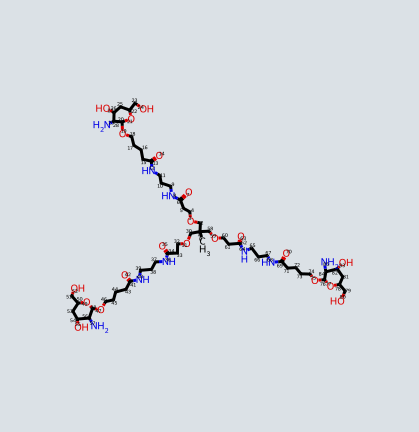 CC(COCCC(=O)NCCCNC(=O)CCCCOC1OC(CO)CC(O)C1N)(COCCC(=O)NCCCNC(=O)CCCCOC1OC(CO)CC(O)C1N)COCCC(=O)NCCCNC(=O)CCCCOC1OC(CO)CC(O)C1N